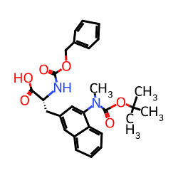 CN(C(=O)OC(C)(C)C)c1cc(C[C@@H](NC(=O)OCc2ccccc2)C(=O)O)cc2ccccc12